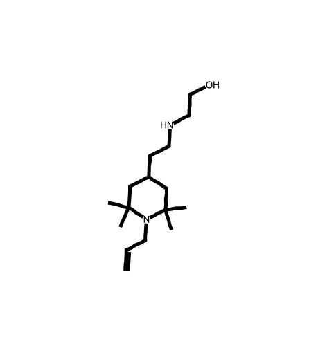 C=CCN1C(C)(C)CC(CCNCCO)CC1(C)C